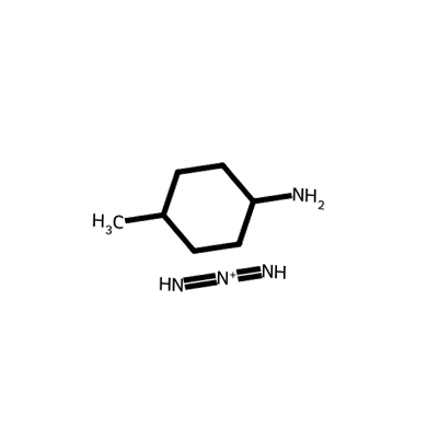 CC1CCC(N)CC1.N=[N+]=N